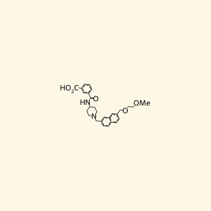 COCCOCc1ccc2ccc(CN3CCC(NC(=O)c4cccc(C(=O)O)c4)CC3)cc2c1